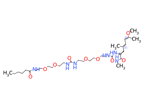 CCCCCC(=O)NCCOCCOCCNC(=O)NCCOCCOCCNC(=O)N[C@@H](C/C(C)=C/C=C(\C)OC)C(=O)NC